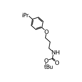 CC(C)c1ccc(OCCCNC(=O)OC(C)(C)C)cc1